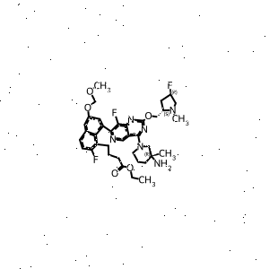 CCOC(=O)CCCc1c(F)ccc2cc(OCOC)cc(-c3ncc4c(N5CCC[C@@](C)(N)C5)nc(OC[C@@H]5C[C@@H](F)CN5C)nc4c3F)c12